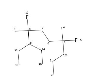 CCCC(C)(F)CCC(C)(F)C(CC)CC